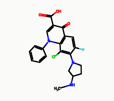 CNC1CCN(c2c(F)cc3c(=O)c(C(=O)O)cn(-c4ccccc4)c3c2Cl)C1